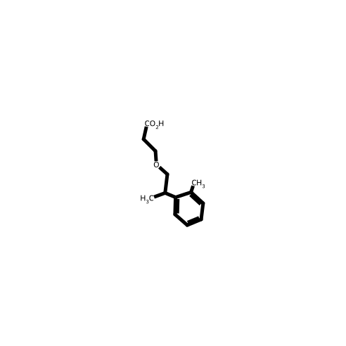 Cc1ccccc1C(C)COCCC(=O)O